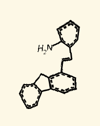 Nc1ccccc1/C=C/c1cccc2c1Cc1ccccc1-2